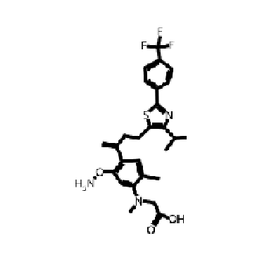 C=C(CCc1sc(-c2ccc(C(F)(F)F)cc2)nc1C(C)C)c1cc(C)c(N(C)CC(=O)O)cc1ON